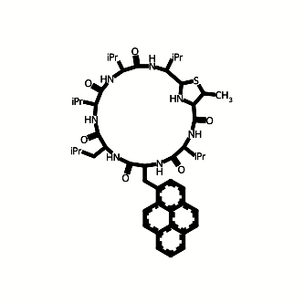 CC(C)CC1NC(=O)C(Cc2ccc3ccc4cccc5ccc2c3c45)NC(=O)C(C(C)C)NC(=O)C2NC(SC2C)C(C(C)C)NC(=O)C(C(C)C)NC(=O)C(C(C)C)NC1=O